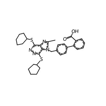 Cc1nc2c(SC3CCCCC3)nnc(SC3CCCCC3)c2n1Cc1ccc(-c2ccccc2C(=O)O)cc1